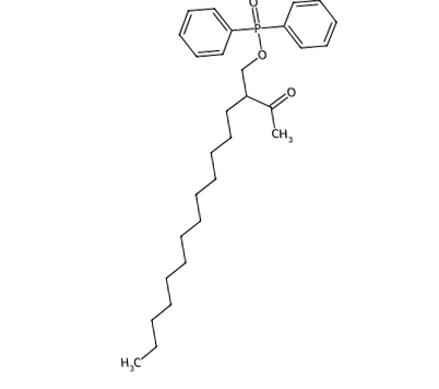 CCCCCCCCCCCCCC(COP(=O)(c1ccccc1)c1ccccc1)C(C)=O